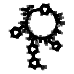 O=C1C[C@@H](O)C(=O)Nc2ccc(cc2)C[C@@H](C(=O)O)NC(=O)[C@@H](Cc2ccccc2)NC(=O)[C@H](Cc2ccc(-c3cccc(O)c3)cc2)NC(=O)[C@@H](Cc2cccs2)N1